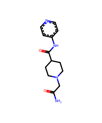 NC(=O)CN1CCC(C(=O)Nc2ccncc2)CC1